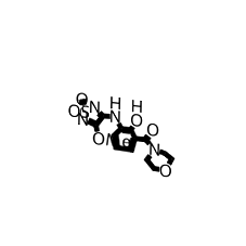 COC1=NS(=O)(=O)N=C1Nc1cccc(C(=O)N2CCOCC2)c1O